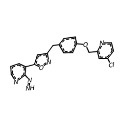 N=Nc1ncccc1-c1cc(Cc2ccc(OCc3cc(Cl)ccn3)cc2)no1